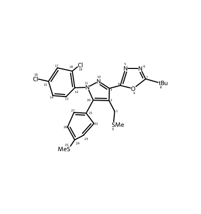 CSCc1c(-c2nnc(C(C)(C)C)o2)nn(-c2ccc(Cl)cc2Cl)c1-c1ccc(SC)cc1